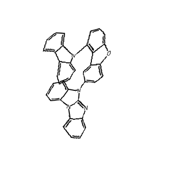 c1ccc2c(c1)nc1n(-c3ccc4oc5cccc(-n6c7ccccc7c7ccccc76)c5c4c3)c3ccccc3n21